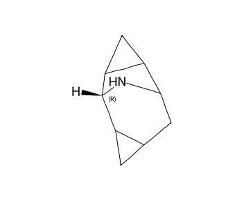 C1C2CC2[C@H]2NC1C1CC12